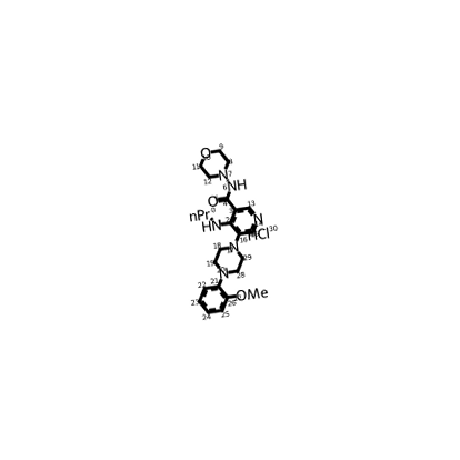 CCCNc1c(C(=O)NN2CCOCC2)cncc1N1CCN(c2ccccc2OC)CC1.Cl